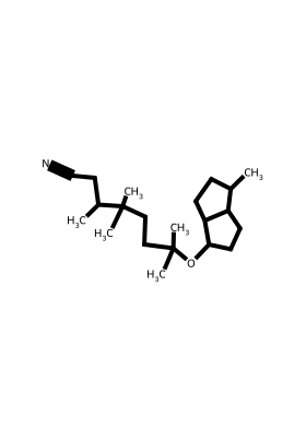 CC1CCC2C(OC(C)(C)CCC(C)(C)C(C)CC#N)CCC12